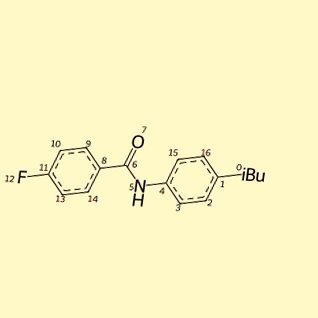 CCC(C)c1ccc(NC(=O)c2ccc(F)cc2)cc1